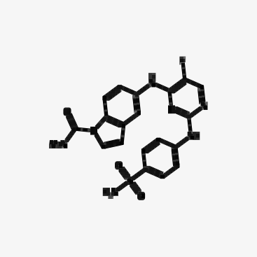 CNC(=O)n1ccc2cc(Nc3nc(Nc4ccc(S(N)(=O)=O)cc4)ncc3F)ccc21